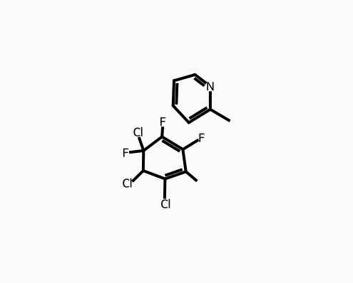 CC1=C(Cl)C(Cl)C(F)(Cl)C(F)=C1F.Cc1ccccn1